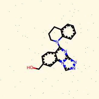 OCc1ccc2c(N3CCCc4ccccc43)nc3nncn3c2c1